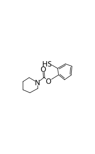 O=C(Oc1ccccc1S)N1CCCCC1